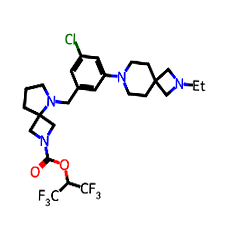 CCN1CC2(CCN(c3cc(Cl)cc(CN4CCCC45CN(C(=O)OC(C(F)(F)F)C(F)(F)F)C5)c3)CC2)C1